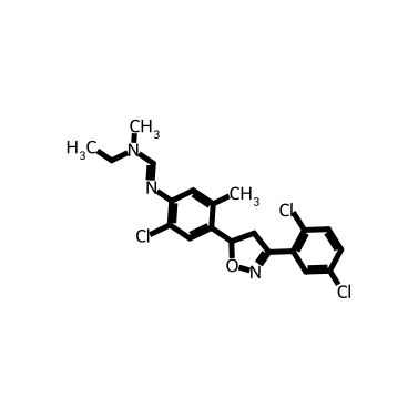 CCN(C)C=Nc1cc(C)c(C2CC(c3cc(Cl)ccc3Cl)=NO2)cc1Cl